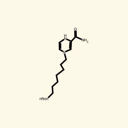 CCCCCCCCCCCCCCCCN1C=CNC(C(N)=O)=C1